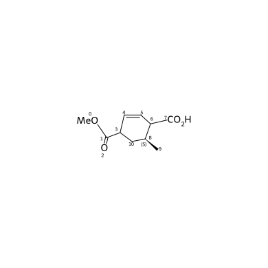 COC(=O)C1C=CC(C(=O)O)[C@@H](C)C1